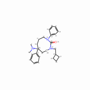 CN(C)[C@@]1(c2ccccc2)CCCN(c2ccccc2)C(=O)N(CC2CCC2)CC1